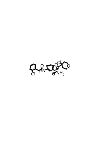 NS(=O)(=O)c1cc(NC(=O)Cc2ccccc2Cl)ccc1OCC1(Cl)CCOCC1